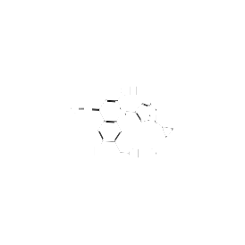 CC1=CC(=C=O)c2cc(F)c(CC=O)cc2N1c1cnn(C2CC2)c1